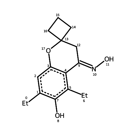 CCc1cc2c(c(CC)c1O)C(=NO)CC1(CCC1)O2